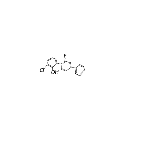 Oc1c(Cl)cccc1-c1ccc(-c2ccccc2)cc1F